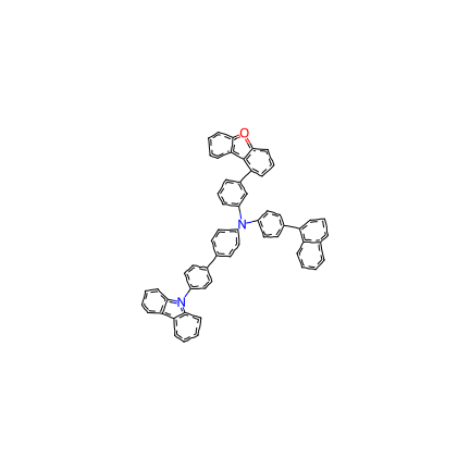 c1cc(-c2cccc3oc4ccccc4c23)cc(N(c2ccc(-c3ccc(-n4c5ccccc5c5ccccc54)cc3)cc2)c2ccc(-c3cccc4ccccc34)cc2)c1